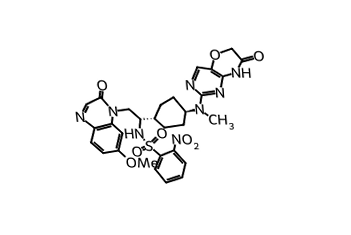 COc1ccc2ncc(=O)n(CC(NS(=O)(=O)c3ccccc3[N+](=O)[O-])[C@H]3CC[C@H](N(C)c4ncc5c(n4)NC(=O)CO5)CC3)c2c1